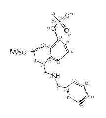 COC(=O)CC(CNCc1ccccc1)c1cccc(OS(C)(=O)=O)c1